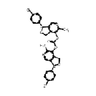 Cc1ncc2c(c1OC(=O)Oc1c(C)ncc3c1CO[C@H]3c1ccc(Cl)cc1)CO[C@H]2c1ccc(Cl)cc1